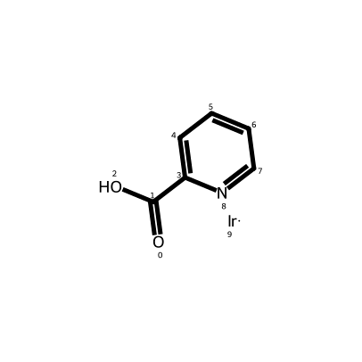 O=C(O)c1ccccn1.[Ir]